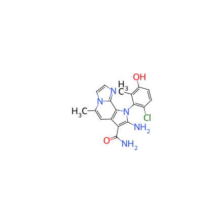 Cc1c(O)ccc(Cl)c1-n1c(N)c(C(N)=O)c2cc(C)n3ccnc3c21